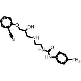 Cc1ccc(NC(=O)NCCNCC(O)COc2ccccc2C#N)cc1